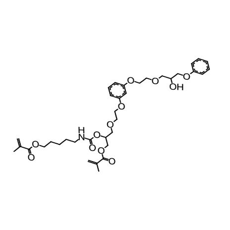 C=C(C)C(=O)OCCCCCNC(=O)OC(COCCOc1cccc(OCCOCC(O)COc2ccccc2)c1)COC(=O)C(=C)C